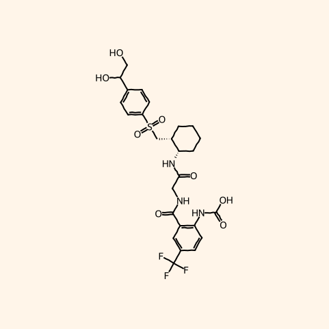 O=C(O)Nc1ccc(C(F)(F)F)cc1C(=O)NCC(=O)N[C@H]1CCCC[C@H]1CS(=O)(=O)c1ccc(C(O)CO)cc1